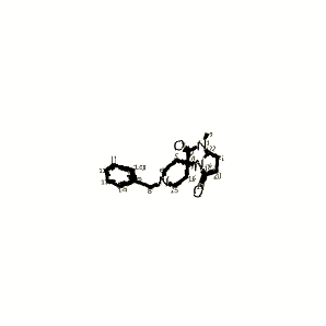 CN1C(=O)C2(CCN(Cc3ccccc3)CC2)N2C(=O)CCC12